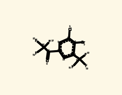 O=C(c1cc(Cl)c(Br)c(C(F)(F)F)c1)C(F)(F)F